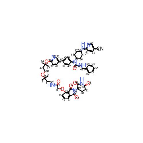 CC(C)(CCNC(=O)COc1cccc2c1C(=O)N(C1CCC(=O)NC1=O)C2=O)OCCC(C)(C)Oc1ccc(-c2ccc(N(C(=O)NCc3ccccc3)C3CCC(Nc4ccc(C#N)cn4)CC3)cc2)cn1